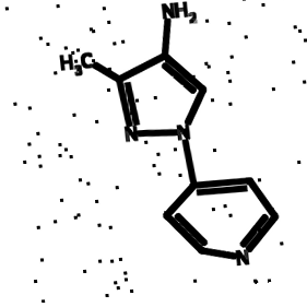 Cc1nn(-c2ccncc2)cc1N